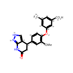 COc1cc(C2CC(=O)Nc3n[nH]cc32)ccc1Oc1cc(C(=O)O)cc(C(F)(F)F)c1